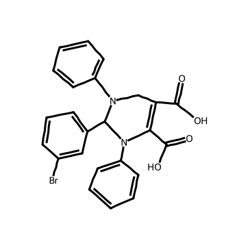 O=C(O)C1=C(C(=O)O)N(c2ccccc2)C(c2cccc(Br)c2)N(c2ccccc2)C1